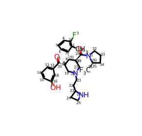 Cc1c(F)cccc1[C@H]1[C@@H](C(=O)c2cccc(O)c2)CN(CCC2CCN2)C[C@@H]1C(=O)N1CCC[C@H]1C(F)(F)F